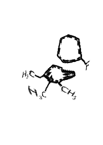 Cc1cccc(C)c1C.Fc1ccccc1